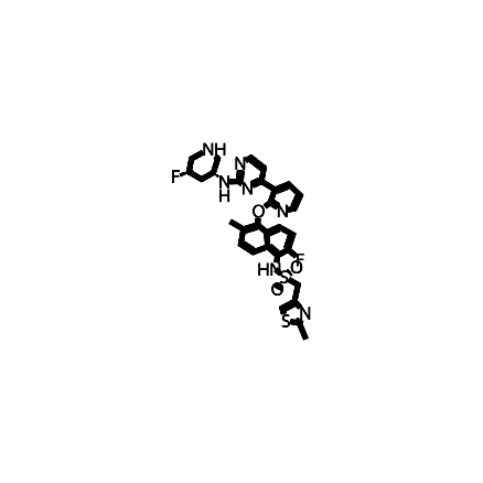 Cc1nc(CS(=O)(=O)Nc2c(F)ccc3c(Oc4ncccc4-c4ccnc(N[C@H]5CNC[C@H](F)C5)n4)c(C)ccc23)cs1